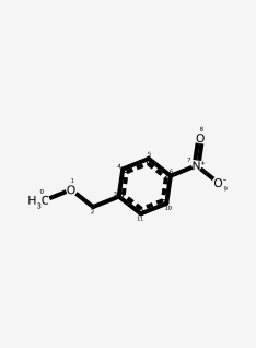 COCc1ccc([N+](=O)[O-])cc1